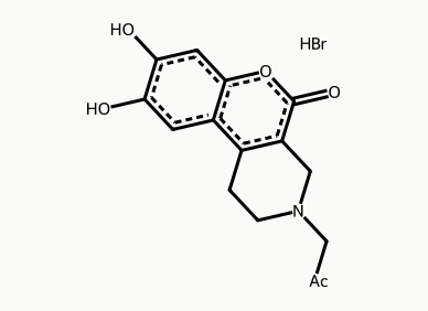 Br.CC(=O)CN1CCc2c(c(=O)oc3cc(O)c(O)cc23)C1